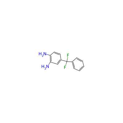 Nc1ccc(C(F)(F)c2ccccc2)cc1N